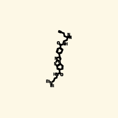 C#CCCC1(CCNC(=O)c2ccc(-c3cn4c(n3)sc3cc(C(=O)NCCCN(CC)CC)ccc34)cc2)N=N1